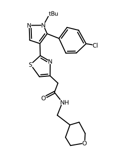 CC(C)(C)n1ncc(-c2nc(CC(=O)NCC3CCOCC3)cs2)c1-c1ccc(Cl)cc1